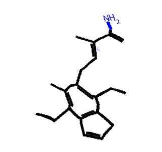 C=C(N)/C(C)=C/Cc1c(C)c(CC)c2c(c1CC)CC=C2